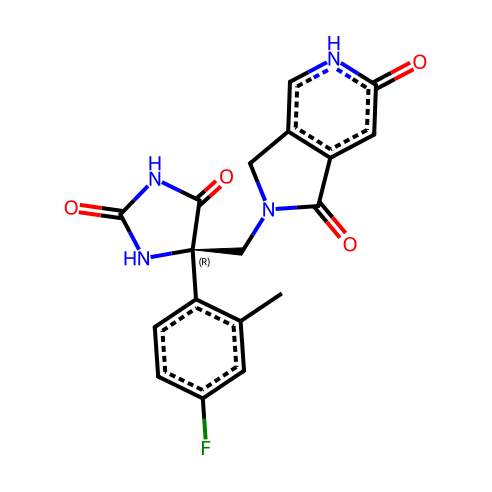 Cc1cc(F)ccc1[C@]1(CN2Cc3c[nH]c(=O)cc3C2=O)NC(=O)NC1=O